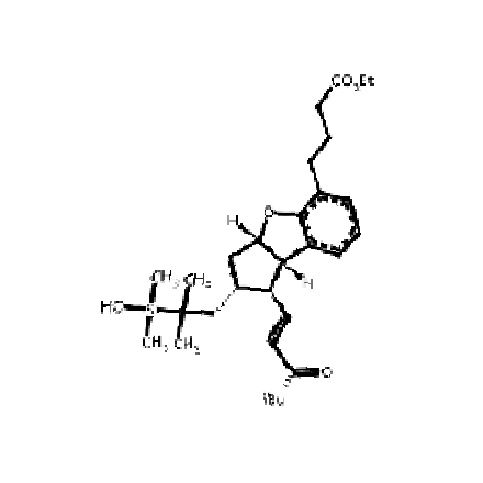 CCOC(=O)CCCc1cccc2c1O[C@H]1C[C@@H](CC(C)(C)[Si](C)(C)O)[C@H](/C=C/C(=O)[C@@H](C)CC)[C@@H]21